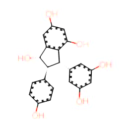 Oc1ccc([C@@H]2[C@@H](c3cc(O)cc(O)c3)c3c(O)cc(O)cc3[C@H]2O)cc1